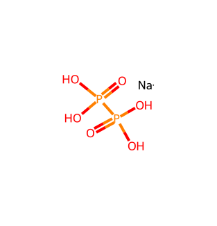 O=P(O)(O)P(=O)(O)O.[Na]